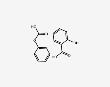 O=C(O)Oc1ccccc1.O=C(O)c1ccccc1O